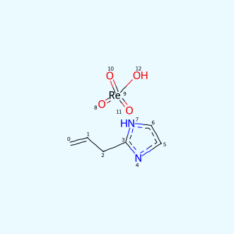 C=CCc1ncc[nH]1.[O]=[Re](=[O])(=[O])[OH]